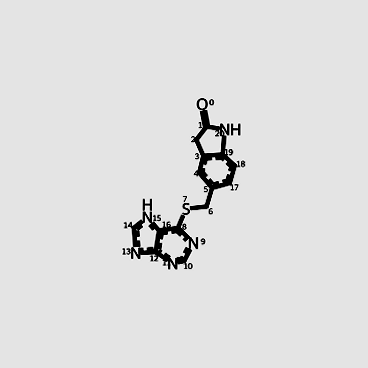 O=C1Cc2cc(CSc3ncnc4nc[nH]c34)ccc2N1